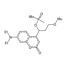 CCN(CC)c1ccc2c(C(CCOC(C)(C)C)OP(C)(=O)C(C)(C)C)cc(=O)oc2c1